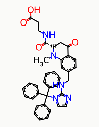 CN1c2cc(CNc3nccn3C(c3ccccc3)(c3ccccc3)c3ccccc3)ccc2C(=O)C[C@H]1C(=O)NCCC(=O)O